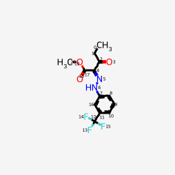 CCC(=O)/C(=N/Nc1cccc(C(F)(F)F)c1)C(=O)OC